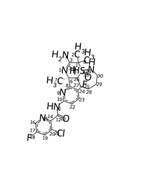 CC1(C)C(N)=N[C@](C)(c2nc(NC(=O)c3ncc(F)cc3Cl)ccc2F)[C@@H]2CCCCN[SH]21=O